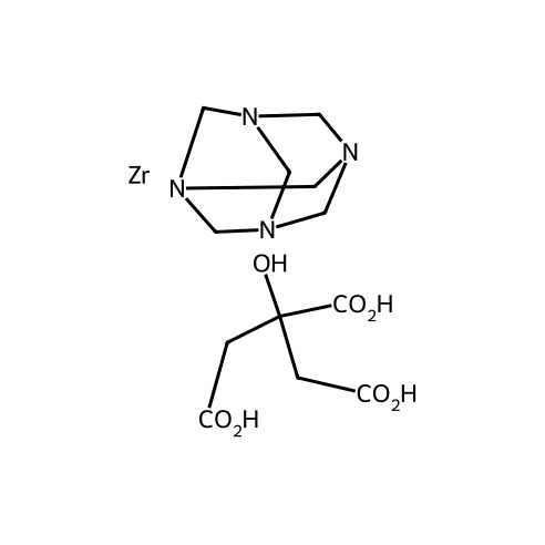 C1N2CN3CN1CN(C2)C3.O=C(O)CC(O)(CC(=O)O)C(=O)O.[Zr]